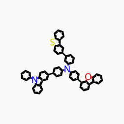 c1ccc(-n2c3ccccc3c3cc(-c4ccc(N(c5ccc(-c6cccc7c6oc6ccccc67)cc5)c5cccc(-c6ccc7sc8ccccc8c7c6)c5)cc4)ccc32)cc1